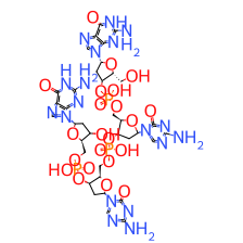 Nc1ncn([C@H]2CC(OP(=O)(O)OC[C@H]3O[C@@H](n4cnc(N)nc4=O)C[C@H]3OP(=O)(O)OC[C@H]3O[C@@H](n4cnc5c(=O)[nH]c(N)nc54)C[C@H]3O)[C@@H](COP(=O)(O)OC3C[C@H](n4cnc5c(=O)[nH]c(N)nc54)O[C@@H]3CO)O2)c(=O)n1